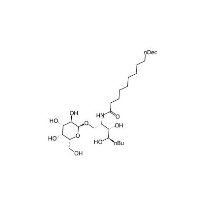 CCCCCCCCCCCCCCCCCCC(=O)N[C@@H](CO[C@H]1O[C@H](CO)[C@H](O)[C@H](O)[C@H]1O)[C@H](O)[C@H](O)CCCC